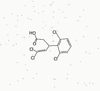 O=C(O)CC(C=C(Cl)Cl)c1c(Cl)cccc1Cl